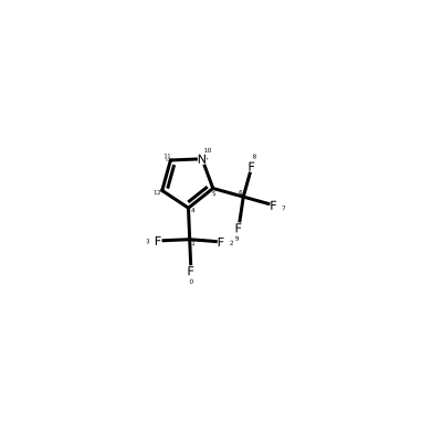 FC(F)(F)C1=C(C(F)(F)F)[N][C]=C1